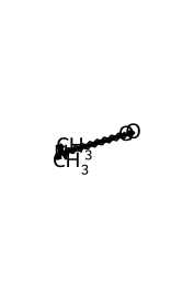 CCN(CC)CCCCCCCCCCCCCCCCCO[C]=O